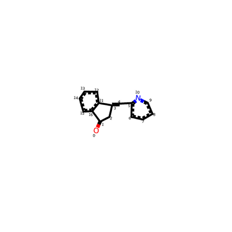 O=C1CC(=Cc2ccccn2)c2ccccc21